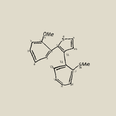 COc1ccccc1-c1sccc1-c1ccccc1SC